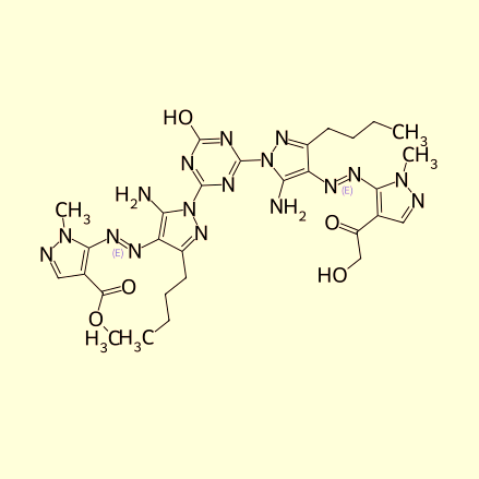 CCCCc1nn(-c2nc(O)nc(-n3nc(CCCC)c(/N=N/c4c(C(=O)OC)cnn4C)c3N)n2)c(N)c1/N=N/c1c(C(=O)CO)cnn1C